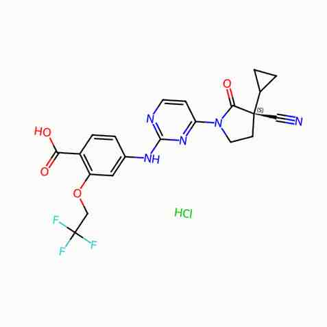 Cl.N#C[C@@]1(C2CC2)CCN(c2ccnc(Nc3ccc(C(=O)O)c(OCC(F)(F)F)c3)n2)C1=O